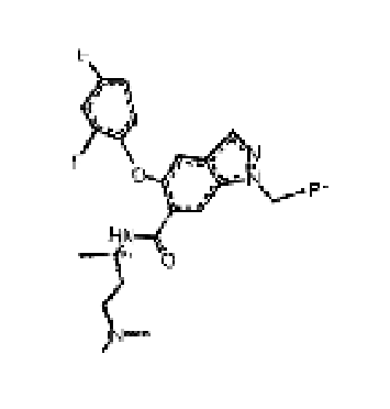 CC(C)Cn1ncc2cc(Oc3ccc(F)cc3F)c(C(=O)N[C@H](C)CCN(C)C)cc21